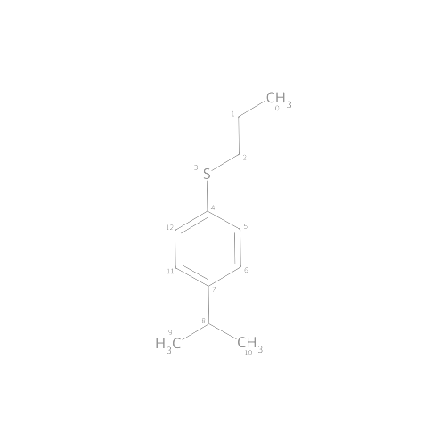 CCCSc1ccc(C(C)C)cc1